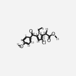 CCn1c(C(=O)c2ccc(OC)cc2)cc(Cl)c1C(C)C(=O)OC